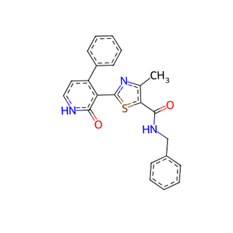 Cc1nc(-c2c(-c3ccccc3)cc[nH]c2=O)sc1C(=O)NCc1ccccc1